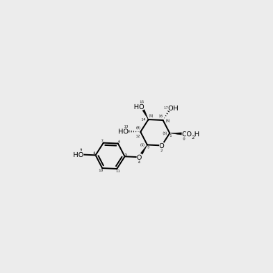 O=C(O)[C@H]1O[C@@H](Oc2ccc(O)cc2)[C@H](O)[C@@H](O)[C@@H]1O